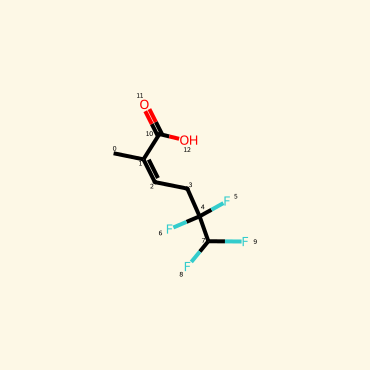 CC(=CCC(F)(F)C(F)F)C(=O)O